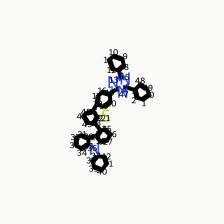 c1ccc(-c2nc(-c3ccccc3)nc(-c3ccc4c(c3)sc3c(-c5cccc6c5c5ccccc5n6-c5ccccc5)cccc34)n2)cc1